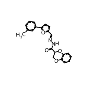 Cc1cccc(-c2ccc(/C=N/NC(=O)C3COc4ccccc4O3)o2)c1